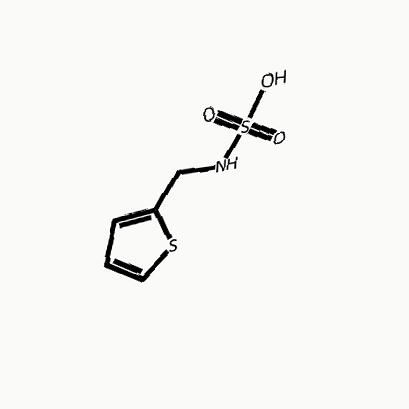 O=S(=O)(O)NCc1cccs1